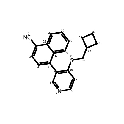 N#Cc1ccc(-c2cnccc2SCC2CCC2)c2ccccc12